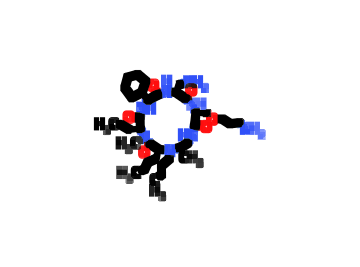 CCCC[C@H]1C(=O)N(C)[C@@H](CCC)C(=O)N[C@@H](C2CCCCC2)C(=O)N[C@@H](CN)C(=O)N[C@@H](COCCCN)C(=O)NC[C@H](C)N1CCCC